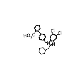 O=C(O)c1ccccc1-c1ccc(Cn2c(CC3CCCCC3)nc3cc(Cl)c(Cl)cc32)cc1